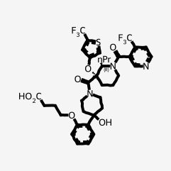 CCC[C@H]1N(C(=O)c2cnccc2C(F)(F)F)CCC[C@@]1(Oc1csc(C(F)(F)F)c1)C(=O)N1CCC(O)(c2ccccc2OCCCC(=O)O)CC1